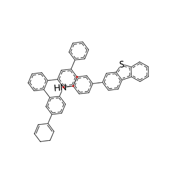 C1=CC(c2ccc(Nc3ccc(-c4ccc5c(c4)sc4ccccc45)cc3)c(-c3ccccc3-c3cccc(-c4ccccc4)c3)c2)=CCC1